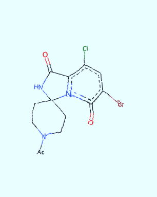 CC(=O)N1CCC2(CC1)NC(=O)c1c(Cl)cc(Br)c(=O)n12